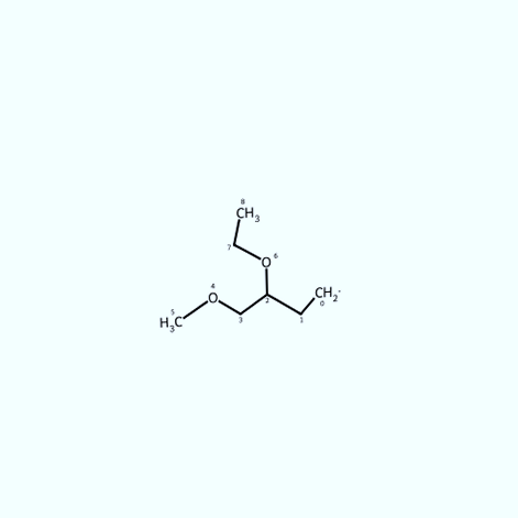 [CH2]CC(COC)OCC